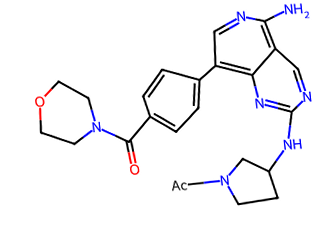 CC(=O)N1CCC(Nc2ncc3c(N)ncc(-c4ccc(C(=O)N5CCOCC5)cc4)c3n2)C1